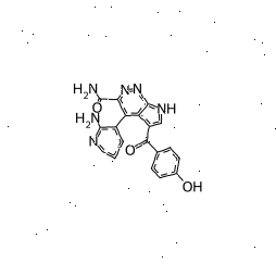 NC(=O)c1nnc2[nH]cc(C(=O)c3ccc(O)cc3)c2c1-c1cccnc1N